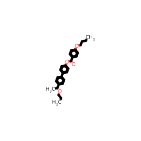 CCCCOc1ccc(C(=O)Oc2ccc(-c3ccc(C(C)OCCC)cc3)cc2)cc1